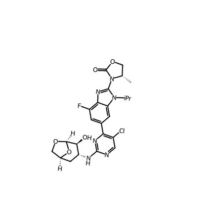 CC(C)n1c(N2C(=O)OC[C@@H]2C)nc2c(F)cc(-c3nc(N[C@@H]4C[C@H]5CO[C@H](O5)[C@H]4O)ncc3Cl)cc21